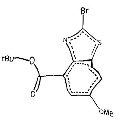 COc1cc(C(=O)OC(C)(C)C)c2nc(Br)sc2c1